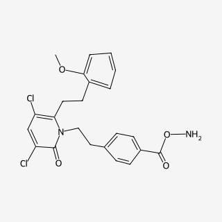 COc1ccccc1CCc1c(Cl)cc(Cl)c(=O)n1CCc1ccc(C(=O)ON)cc1